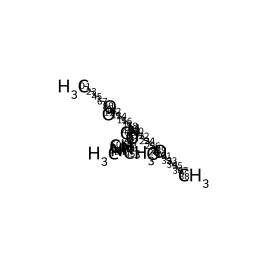 CCCCCCCCCOC(=O)CCCCCCCN(CCCCCCCC(=O)OCCCCCCCCC)C(=O)OCCN(C)CCN(C)C